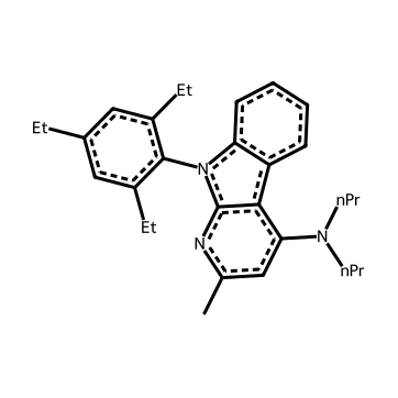 CCCN(CCC)c1cc(C)nc2c1c1ccccc1n2-c1c(CC)cc(CC)cc1CC